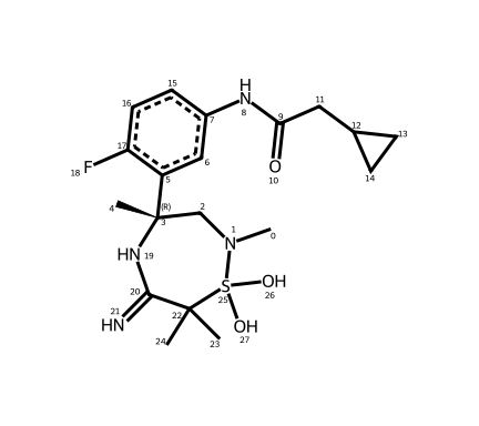 CN1C[C@@](C)(c2cc(NC(=O)CC3CC3)ccc2F)NC(=N)C(C)(C)S1(O)O